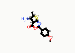 COc1ccc(-c2nc3sc(C)c(N)c3c(=O)o2)cc1